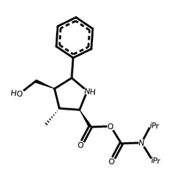 CC(C)N(C(=O)OC(=O)[C@@H]1NC(c2ccccc2)[C@H](CO)[C@H]1C)C(C)C